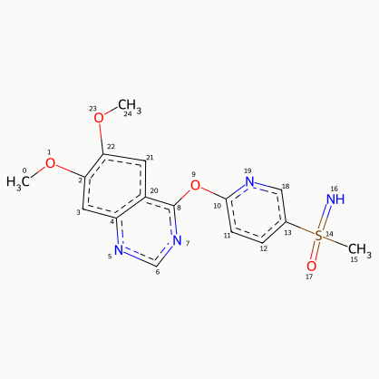 COc1cc2ncnc(Oc3ccc(S(C)(=N)=O)cn3)c2cc1OC